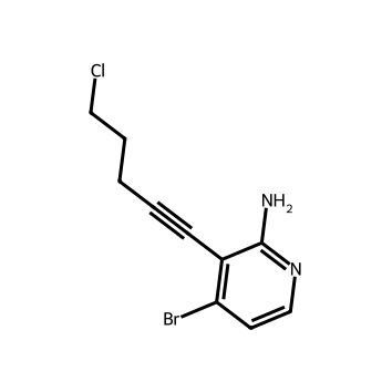 Nc1nccc(Br)c1C#CCCCCl